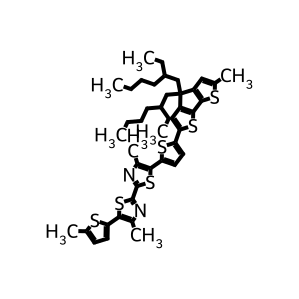 CCCCC(CC)CC1(CC(CC)CCCC)c2cc(C)sc2-c2sc(-c3ccc(-c4sc(-c5nc(C)c(-c6ccc(C)s6)s5)nc4C)s3)cc21